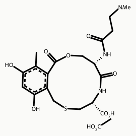 CC(=O)O.CNCCC(=O)N[C@H]1COC(=O)c2c(C)c(O)cc(O)c2CSC[C@@H](C(=O)O)NC1=O